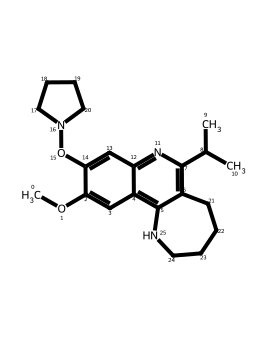 COc1cc2c3c(c(C(C)C)nc2cc1ON1CCCC1)CCCCN3